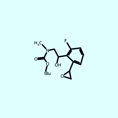 CN(CC(O)c1c(F)cccc1C1CO1)C(=O)OC(C)(C)C